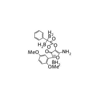 BC(B)(c1ccccc1)S(=O)(=O)OC1=C(N)O[C@@](B)(c2cc(OC)ccc2OC)C1=O